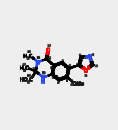 COc1cc2c(cc1-c1cnco1)C(=O)N(C)C(C)(C(=O)O)N2